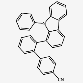 N#Cc1ccc(-c2ccccc2-c2cccc3c4ccccc4n(-c4ccccc4)c23)cc1